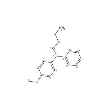 CCc1ccc(B(OCCN)c2ccccc2)cc1